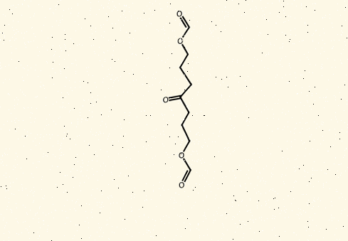 O=COCCCC(=O)CCCOC=O